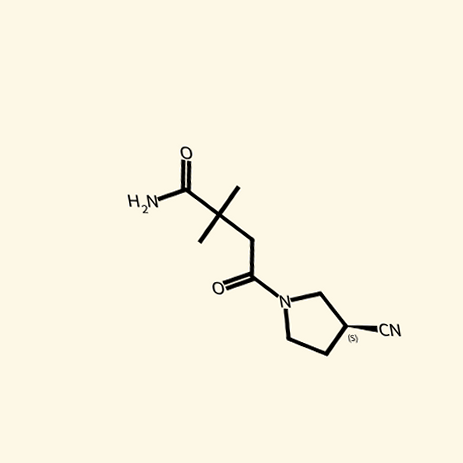 CC(C)(CC(=O)N1CC[C@H](C#N)C1)C(N)=O